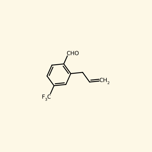 C=CCc1cc(C(F)(F)F)ccc1C=O